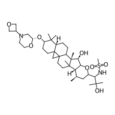 C[C@@H]1CC(C(NS(C)(=O)=O)C(C)(C)O)OC2[C@H]1C1(C)CCC34CC35CCC(O[C@H]3CN(C6COC6)CCO3)C(C)(C)[C@@H]5CCC4[C@]1(C)[C@H]2O